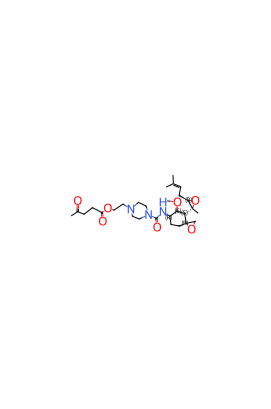 CO[C@H]1[C@H](C2(C)O[C@@H]2CC=C(C)C)[C@]2(CC[C@H]1NC(=O)N1CCN(CCOC(=O)CCC(C)=O)CC1)CO2